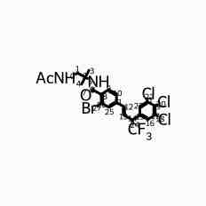 CC(=O)NCC(C)(C)NC(=O)c1ccc(/C=C/C(c2cc(Cl)c(Cl)c(Cl)c2)C(F)(F)F)cc1Br